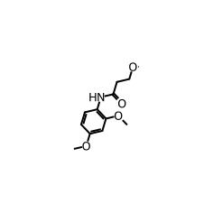 COc1ccc(NC(=O)CC[O])c(OC)c1